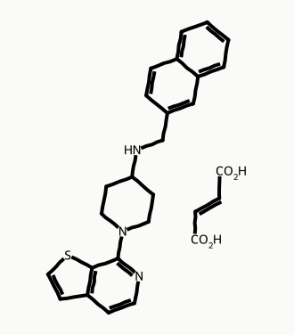 O=C(O)C=CC(=O)O.c1ccc2cc(CNC3CCN(c4nccc5ccsc45)CC3)ccc2c1